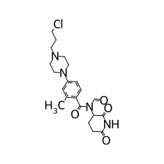 Cc1cc(N2CCN(CCCCl)CC2)ccc1C(=O)N(C=O)C1CCC(=O)NC1=O